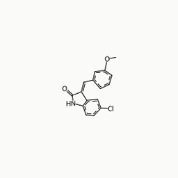 COc1cccc(/C=C2/C(=O)Nc3ccc(Cl)cc32)c1